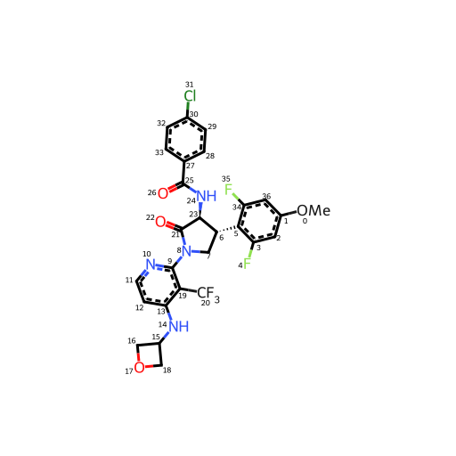 COc1cc(F)c([C@@H]2CN(c3nccc(NC4COC4)c3C(F)(F)F)C(=O)[C@H]2NC(=O)c2ccc(Cl)cc2)c(F)c1